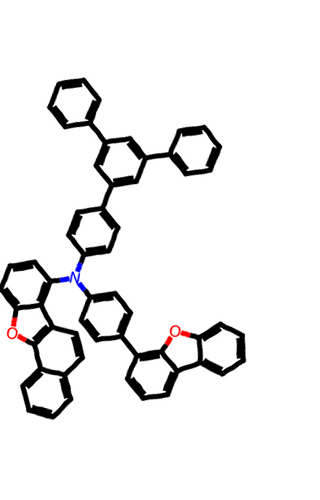 c1ccc(-c2cc(-c3ccccc3)cc(-c3ccc(N(c4ccc(-c5cccc6c5oc5ccccc56)cc4)c4cccc5oc6c7ccccc7ccc6c45)cc3)c2)cc1